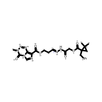 CC(C)CC1(C(=O)OCC(=O)N/N=C/CCOC(=O)c2ncn3c(=O)n(C)nnc23)CC1(C)C